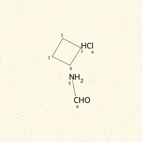 C1CCC1.Cl.NC=O